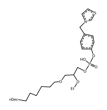 CCCCCCCCCCCCCCCCOCC(COP(=O)(O)Oc1ccc(C[n+]2ccsc2)cc1)OCC